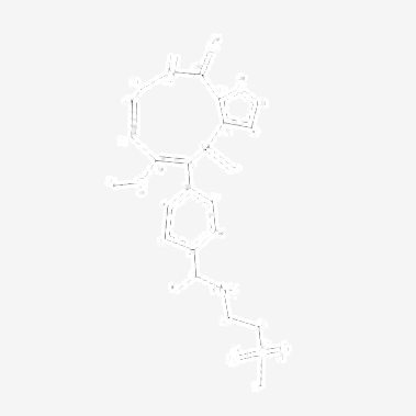 C=C1/C(c2ccc(C(C)NCCS(C)(=O)=O)cc2)=C(OC)\C=C/CNC(=O)c2sccc21